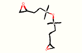 C[Si](C)(CCC1CO1)O[Si](C)(C)CCC1CO1